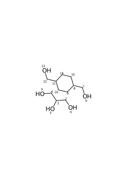 OCC(O)CO.OCC1CCC(CO)CC1